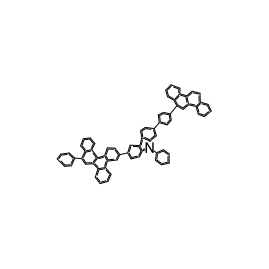 c1ccc(-c2cc3c4ccccc4c4cc(-c5ccc6c(c5)c5ccc(-c7ccc(-c8cc9c%10ccccc%10ccc9c9ccccc89)cc7)cc5n6-c5ccccc5)ccc4c3c3ccccc23)cc1